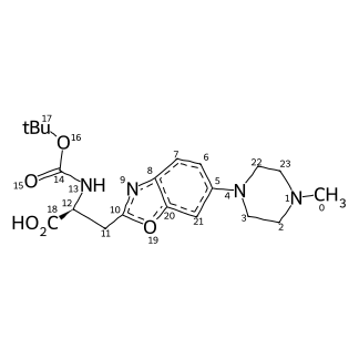 CN1CCN(c2ccc3nc(C[C@H](NC(=O)OC(C)(C)C)C(=O)O)oc3c2)CC1